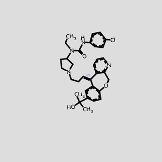 CCN(C(=O)Nc1ccc(Cl)cc1)C1CCN(CC/C=C2\c3cc(C(C)(C)O)ccc3OCc3ncccc32)C1